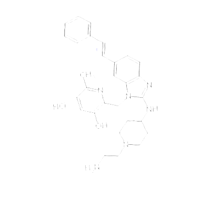 Cc1ccc(O)c(Cn2c(NC3CCN(CCN)CC3)nc3ccc(/C=C/c4ccccc4)cc32)n1.Cl